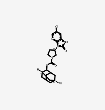 O=C(OC1C2CC3C[C@H]1C[C@@](O)(C3)C2)N1CC[C@@H](n2c(=O)[nH]c3cc(Cl)cnc32)C1